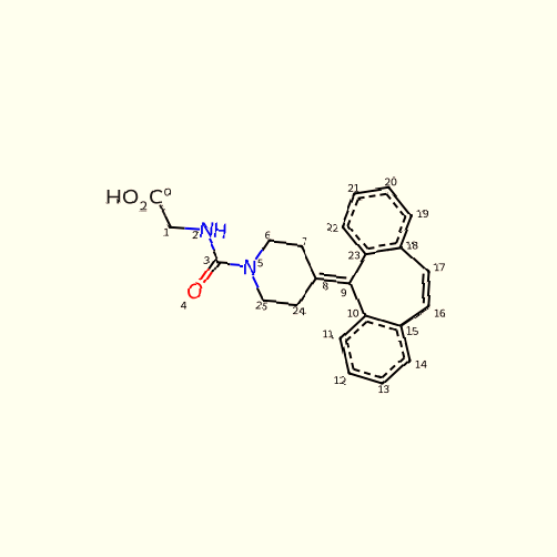 O=C(O)CNC(=O)N1CCC(=C2c3ccccc3C=Cc3ccccc32)CC1